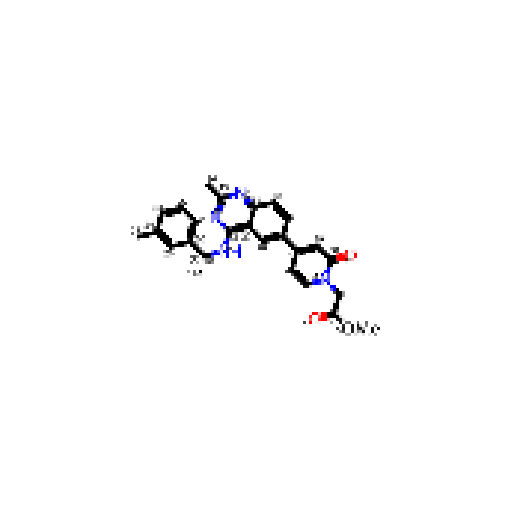 COC(=O)Cn1ccc(-c2ccc3nc(C)nc(N[C@H](C)c4cccc(C)c4)c3c2)cc1=O